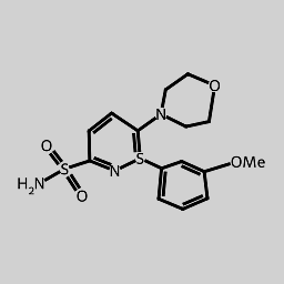 COc1cccc(S2=C(N3CCOCC3)C=CC(S(N)(=O)=O)=N2)c1